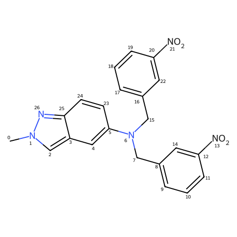 Cn1cc2cc(N(Cc3cccc([N+](=O)[O-])c3)Cc3cccc([N+](=O)[O-])c3)ccc2n1